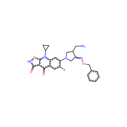 NCC1CN(c2cc3c(cc2F)c(=O)c2c(=O)[nH]sc2n3C2CC2)CC1=NOCc1ccccc1